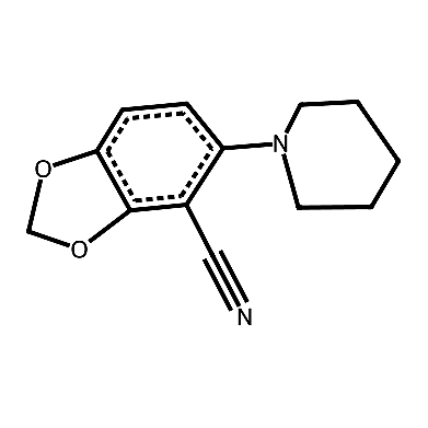 N#Cc1c(N2CCCCC2)ccc2c1OCO2